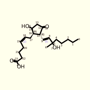 CCCCCC(C)(O)/C=C/[C@H]1C(=O)CC(O)[C@@H]1C/C=C\CCCC(=O)O